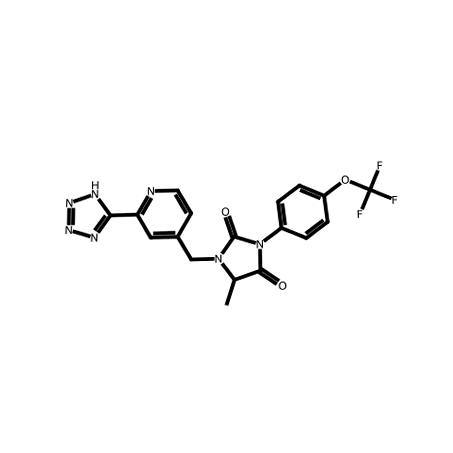 CC1C(=O)N(c2ccc(OC(F)(F)F)cc2)C(=O)N1Cc1ccnc(-c2nnn[nH]2)c1